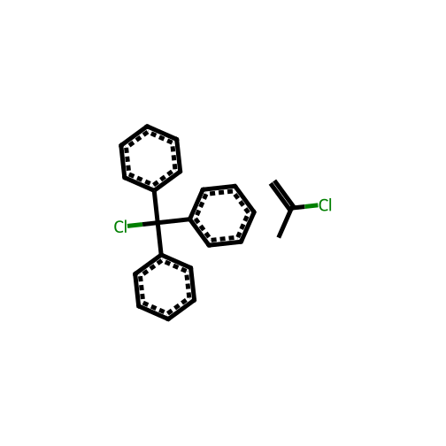 C=C(C)Cl.ClC(c1ccccc1)(c1ccccc1)c1ccccc1